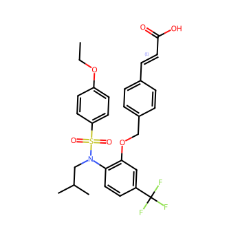 CCOc1ccc(S(=O)(=O)N(CC(C)C)c2ccc(C(F)(F)F)cc2OCc2ccc(/C=C/C(=O)O)cc2)cc1